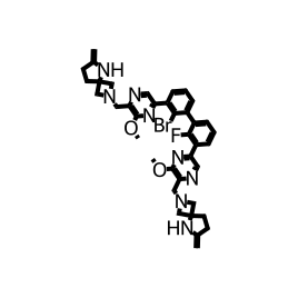 C=C1CCC2(CN(Cc3ncc(-c4cccc(-c5cccc(-c6cnc(CN7CC8(CCC(=C)N8)C7)c(OC)n6)c5Br)c4F)nc3OC)C2)N1